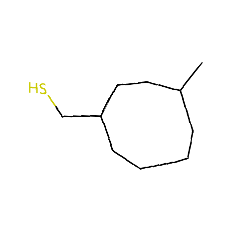 CC1CCCCC(CS)CC1